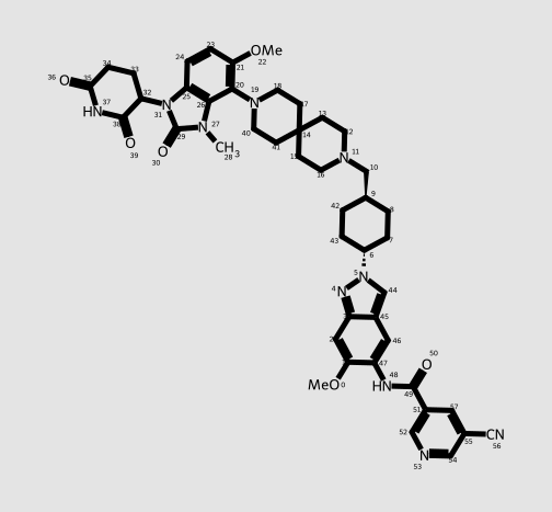 COc1cc2nn([C@H]3CC[C@H](CN4CCC5(CC4)CCN(c4c(OC)ccc6c4n(C)c(=O)n6C4CCC(=O)NC4=O)CC5)CC3)cc2cc1NC(=O)c1cncc(C#N)c1